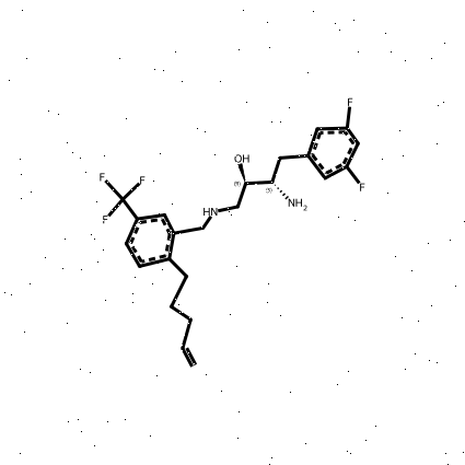 C=CCCCc1ccc(C(F)(F)F)cc1CNC[C@@H](O)[C@@H](N)Cc1cc(F)cc(F)c1